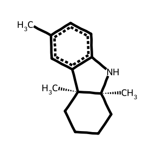 Cc1ccc2c(c1)[C@]1(C)CCCC[C@]1(C)N2